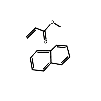 C=CC(=O)OC.c1ccc2ccccc2c1